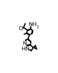 CC(=O)c1c(N)ccc(-c2cnc3c(c2)C2(CC2)CN3)c1C